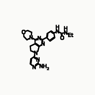 CCNC(=O)Nc1ccc(-c2nc3c(c(N4CCOCC4)n2)CCN(c2ccnc(N)n2)C3)cc1